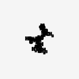 Cc1oc(-c2ccccc2)nc1CCOc1ccc(CCC(=O)O)c(CNC(=O)OC(C)(C)C)c1